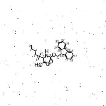 C=CCCC(C)(C)C(NC(=O)OCC1c2ccccc2-c2ccccc21)C(=O)O